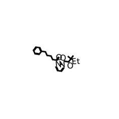 CCC(C)(C)C(=O)C(=O)N1C=CC=CN1C(=O)CCCCc1ccccc1